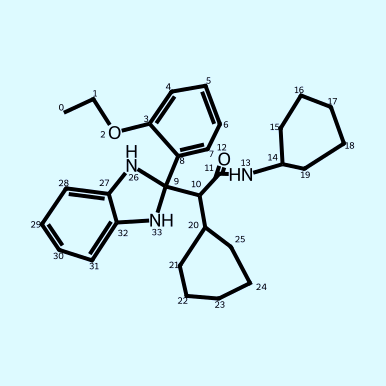 CCOc1ccccc1C1(C(C(=O)NC2CCCCC2)C2CCCCC2)Nc2ccccc2N1